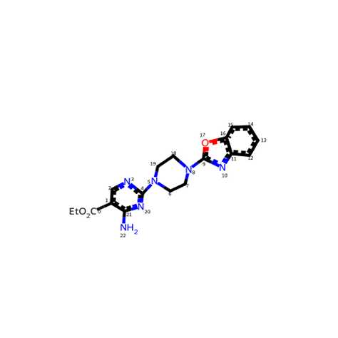 CCOC(=O)c1cnc(N2CCN(c3nc4ccccc4o3)CC2)nc1N